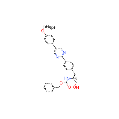 CCCCCCCOc1ccc(-c2cnc(-c3ccc(C[C@@H](CO)NC(=O)OCc4ccccc4)cc3)nc2)cc1